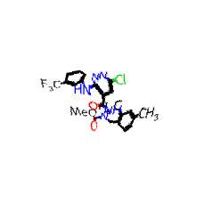 COC(=O)N(Cc1ccc(C)cc1C)NC(=O)c1cc(Cl)nnc1Nc1cccc(C(F)(F)F)c1